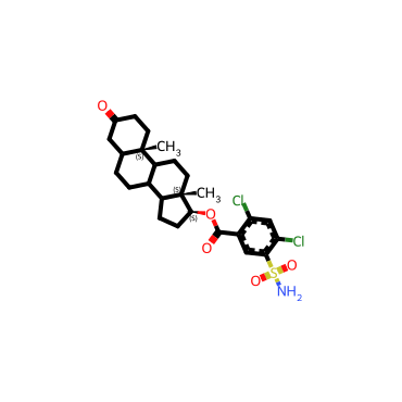 C[C@]12CCC(=O)CC1CCC1C2CC[C@@]2(C)C1CC[C@@H]2OC(=O)c1cc(S(N)(=O)=O)c(Cl)cc1Cl